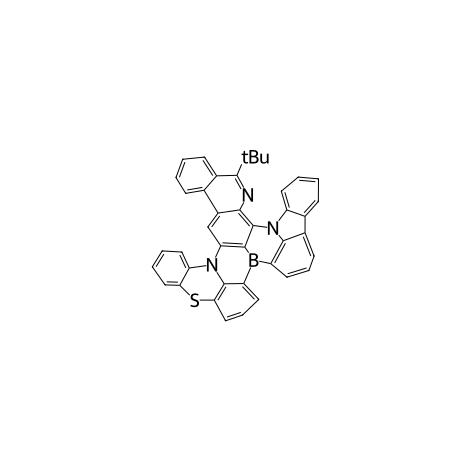 CC(C)(C)c1nc2c3c4c(cc2c2ccccc12)N1c2ccccc2Sc2cccc(c21)B4c1cccc2c4ccccc4n-3c12